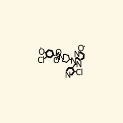 COc1ccc2nc(-c3ccncc3Cl)n(C3CCN(S(=O)(=O)c4ccc(OC)c(Cl)c4)CC3)c2n1